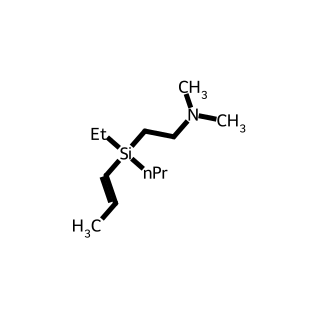 CC=C[Si](CC)(CCC)CCN(C)C